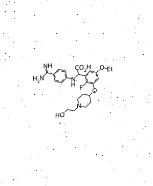 CCOc1cc(OC2CCN(CCO)CC2)c(F)c(C(Nc2ccc(C(=N)N)cc2)C(=O)O)c1